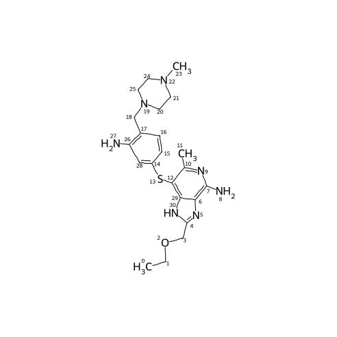 CCOCc1nc2c(N)nc(C)c(Sc3ccc(CN4CCN(C)CC4)c(N)c3)c2[nH]1